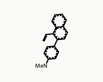 C=Cc1c(-c2ccc(NC)cc2)ccc2ccccc12